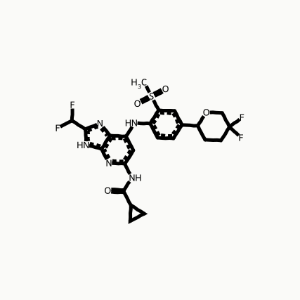 CS(=O)(=O)c1cc(C2CCC(F)(F)CO2)ccc1Nc1cc(NC(=O)C2CC2)nc2[nH]c(C(F)F)nc12